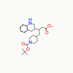 COC(=O)CC(CC1CCN(C(=O)OC(C)(C)C)CC1)C1CNc2ccccc2C1